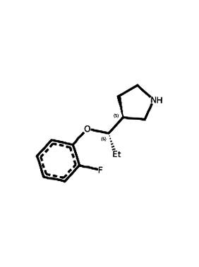 CC[C@H](Oc1ccccc1F)[C@H]1CCNC1